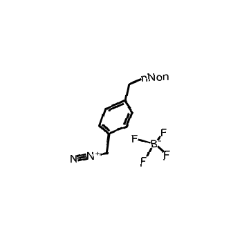 CCCCCCCCCCc1ccc(C[N+]#N)cc1.F[B-](F)(F)F